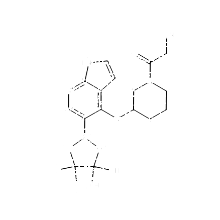 CC1(C)OB(c2cnc3[nH]ccc3c2NC2CCCN(C(=O)CC#N)C2)OC1(C)C